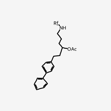 CC(=O)OC(CCC[NH][Rf])CCc1ccc(-c2ccccc2)cc1